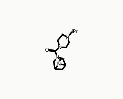 CC(C)N1CCN(C(=O)N2CC3CC(C2)N3C(C)C)CC1